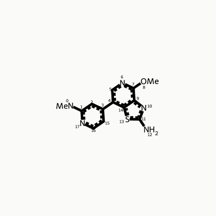 CNc1cc(-c2cnc(OC)c3nc(N)sc23)ccn1